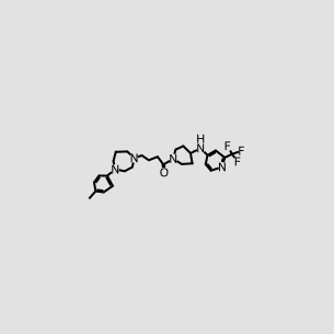 Cc1ccc(N2CCCN(CCCC(=O)N3CCC(Nc4ccnc(C(F)(F)F)c4)CC3)CC2)cc1